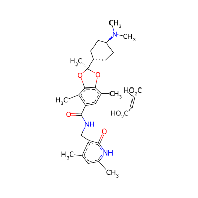 Cc1cc(C)c(CNC(=O)c2cc(C)c3c(c2C)O[C@@](C)([C@H]2CC[C@H](N(C)C)CC2)O3)c(=O)[nH]1.O=C(O)/C=C\C(=O)O